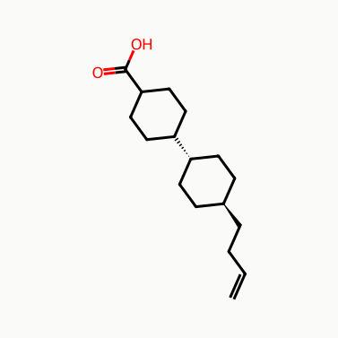 C=CCC[C@H]1CC[C@H](C2CCC(C(=O)O)CC2)CC1